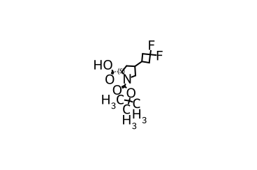 CC(C)(C)OC(=O)N1CC(C2CC(F)(F)C2)C[C@H]1C(=O)O